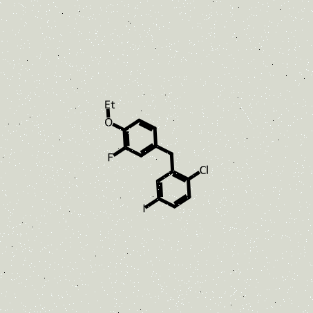 CCOc1ccc(Cc2cc(I)ccc2Cl)cc1F